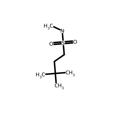 C[N]S(=O)(=O)CCC(C)(C)C